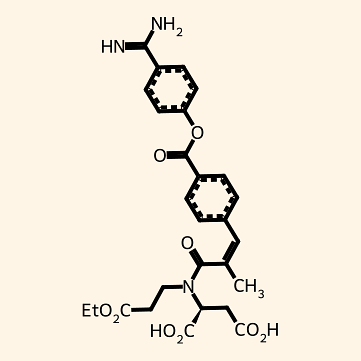 CCOC(=O)CCN(C(=O)C(C)=Cc1ccc(C(=O)Oc2ccc(C(=N)N)cc2)cc1)[C@@H](CC(=O)O)C(=O)O